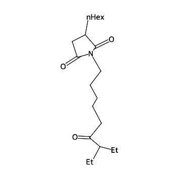 CCCCCCC1CC(=O)N(CCCCCC(=O)C(CC)CC)C1=O